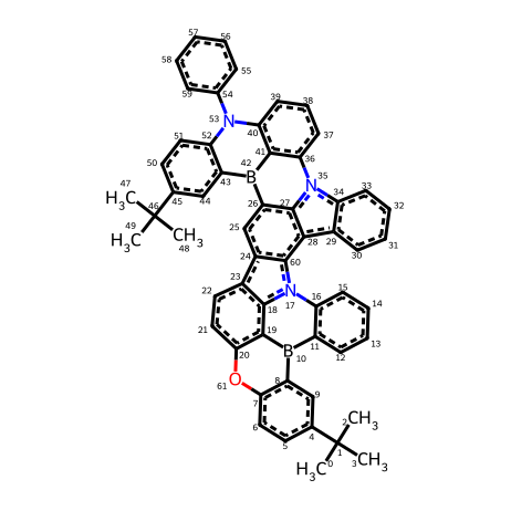 CC(C)(C)c1ccc2c(c1)B1c3ccccc3-n3c4c1c(ccc4c1cc4c5c(c6ccccc6n5-c5cccc6c5B4c4cc(C(C)(C)C)ccc4N6c4ccccc4)c13)O2